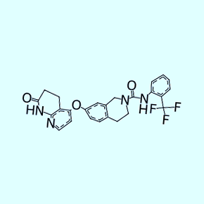 O=C1CCc2c(Oc3ccc4c(c3)CN(C(=O)Nc3ccccc3C(F)(F)F)CC4)ccnc2N1